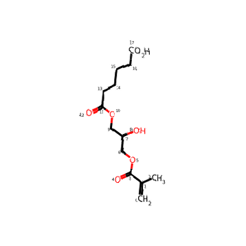 C=C(C)C(=O)OCC(O)COC(=O)CCCCC(=O)O